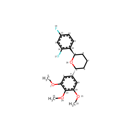 COc1cc([C@H]2CCC[C@H](c3ccc(F)cc3F)O2)cc(OC)c1OC